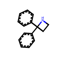 c1ccc(C2(c3ccccc3)CCN2)cc1